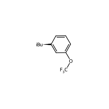 CC[C@H](C)c1cccc(OC(F)(F)F)c1